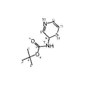 CC(C)(C)OC(=O)NC1C=NC=CS1